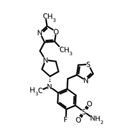 Cc1nc(CN2CC[C@H](N(C)c3cc(F)c(S(N)(=O)=O)cc3Cc3cscn3)C2)c(C)o1